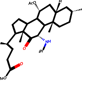 COC(=O)CC[C@@H](C)C1CCC2C3C([C@H](NC(C)C)C(=O)[C@@]21C)[C@@]1(C)CC[C@@H](C)C[C@H]1C[C@H]3OC(C)=O